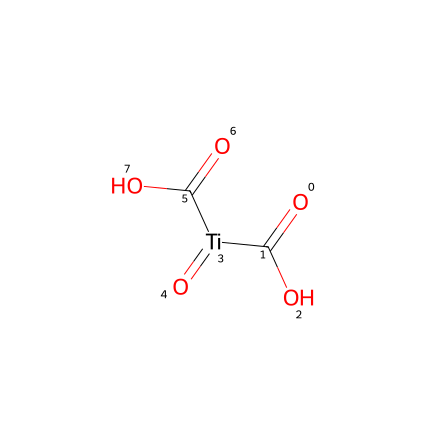 O=[C](O)[Ti](=[O])[C](=O)O